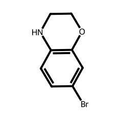 Brc1ccc2c(c1)OCCN2